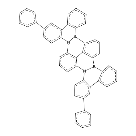 c1ccc(-c2ccc3c(c2)-c2ccccc2B2c4cccc5c4-c4c(cccc4N4B5c5ccccc5-c5cc(-c6ccccc6)ccc54)N23)cc1